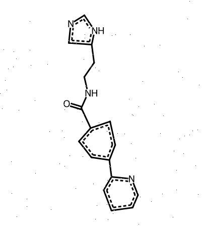 O=C(NCCc1cnc[nH]1)c1ccc(-c2ccccn2)cc1